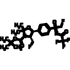 CC(C)(C)OC(=O)N1[C@@H](CF)[C@@H](c2ccc(S(=O)(CF)=NC(=O)C(F)(F)F)cc2)OC1(C)C